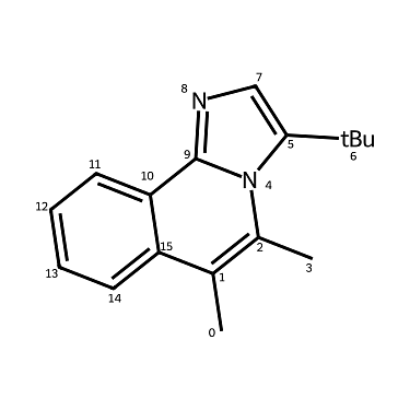 Cc1c(C)n2c(C(C)(C)C)cnc2c2ccccc12